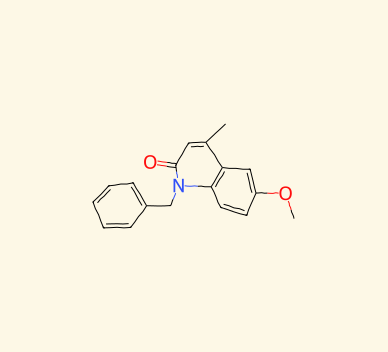 COc1ccc2c(c1)c(C)cc(=O)n2Cc1ccccc1